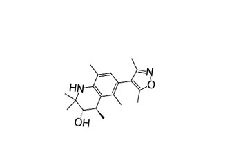 Cc1cc(-c2c(C)noc2C)c(C)c2c1NC(C)(C)[C@@H](O)[C@@H]2C